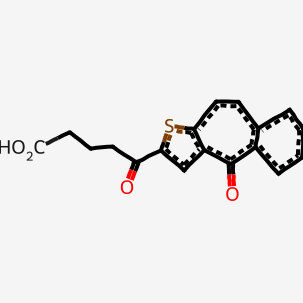 O=C(O)CCCC(=O)c1cc2c(=O)c3ccccc3ccc2s1